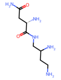 NCCC(N)CNC(=O)[C@@H](N)CC(N)=O